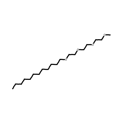 CCCCCCCCCCCCOCCOCCOCCOC